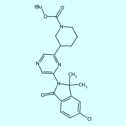 CC(C)(C)OC(=O)N1CCCC(c2cncc(N3C(=O)c4ccc(Cl)cc4C3(C)C)n2)C1